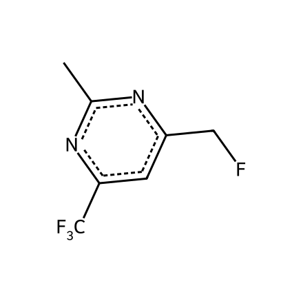 Cc1nc(CF)cc(C(F)(F)F)n1